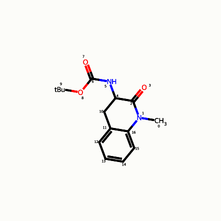 CN1C(=O)C(NC(=O)OC(C)(C)C)Cc2ccccc21